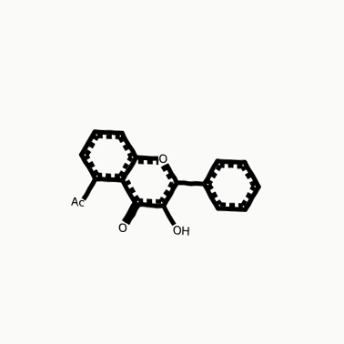 CC(=O)c1cccc2oc(-c3ccccc3)c(O)c(=O)c12